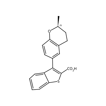 C[C@H]1CCc2cc(-c3c(C(=O)O)sc4ccccc34)ccc2O1